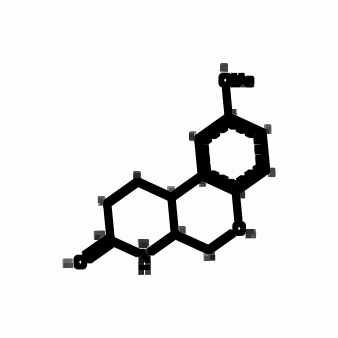 COc1ccc2c(c1)C1CCC(=O)NC1CO2